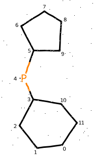 C1CCC([P]C2CCCC2)CC1